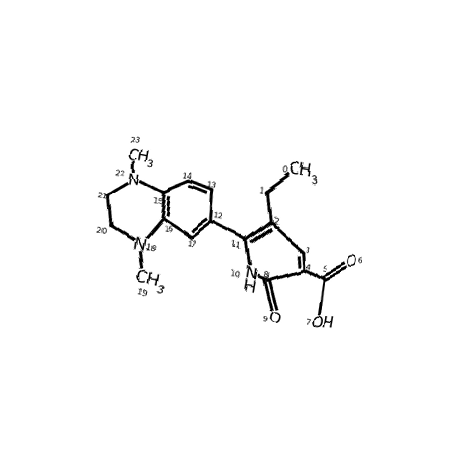 CCc1cc(C(=O)O)c(=O)[nH]c1-c1ccc2c(c1)N(C)CCN2C